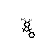 CC1(C)CC(C)(c2ccccc2)c2cc(Cl)c(O)cc21